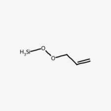 C=CCOO[SiH3]